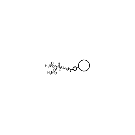 C/C(=N\OCCOC(=O)NC(COC(N)=O)COC(N)=O)c1ccc(C2CCCCCCCCCCCCCCCC2)cc1